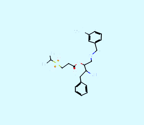 CCCC(CCC)S(=O)(=O)CCC(=O)OC(CNCc1cccc(OC)c1)C(N)Cc1ccccc1